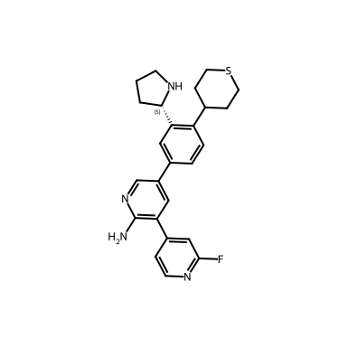 Nc1ncc(-c2ccc(C3CCSCC3)c([C@@H]3CCCN3)c2)cc1-c1ccnc(F)c1